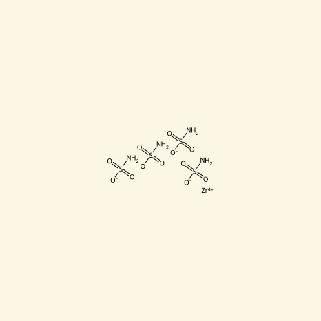 NS(=O)(=O)[O-].NS(=O)(=O)[O-].NS(=O)(=O)[O-].NS(=O)(=O)[O-].[Zr+4]